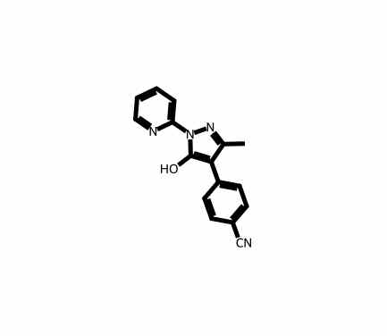 Cc1nn(-c2ccccn2)c(O)c1-c1ccc(C#N)cc1